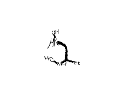 CCC(CNO)NO